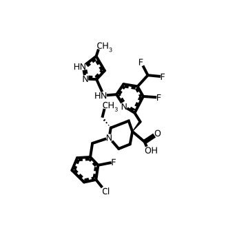 CC[C@@H]1C[C@](Cc2nc(Nc3cc(C)[nH]n3)cc(C(F)F)c2F)(C(=O)O)CCN1Cc1cccc(Cl)c1F